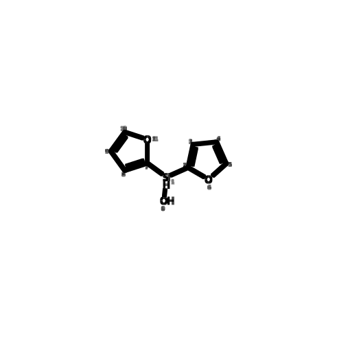 O[SiH](c1ccco1)c1ccco1